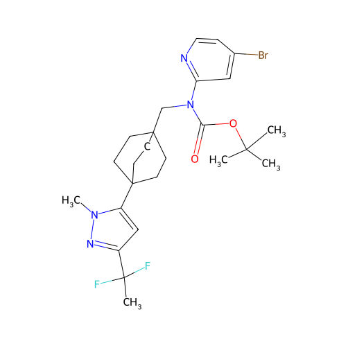 Cn1nc(C(C)(F)F)cc1C12CCC(CN(C(=O)OC(C)(C)C)c3cc(Br)ccn3)(CC1)CC2